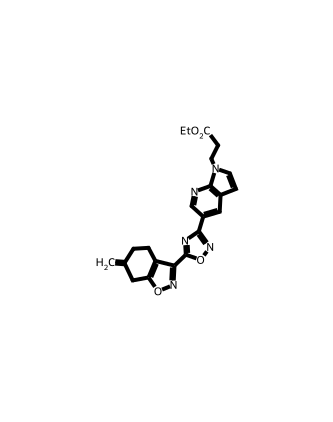 C=C1CCc2c(-c3nc(-c4cnc5c(ccn5CCC(=O)OCC)c4)no3)noc2C1